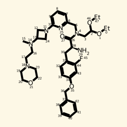 CCOC(CN(Cc1cccc(N2CC(N(C)CCN3CCOCC3)C2)n1)C(=O)[C@@H](N)Cc1ccc(OCc2ccccc2)cc1F)OCC